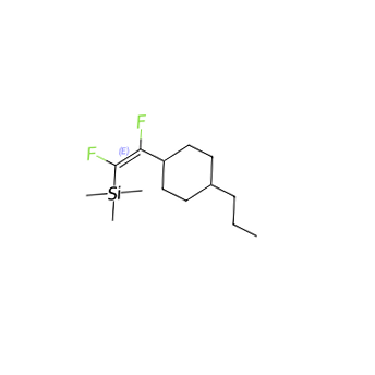 CCCC1CCC(/C(F)=C(/F)[Si](C)(C)C)CC1